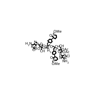 C#C[C@@]1(OC(C)=O)[C@@H](COC(C)(COCC(C)(Cc2ccc(-c3cccn(COC)c3=O)cc2)OC[C@H]2O[C@@H](n3cnc4c(N)nc(Cl)nc43)[C@H](OC(C)=O)[C@]2(C#C)OC(C)=O)Cc2ccc(-c3cccn(COC)c3=O)cc2)O[C@@H](n2cnc3c(N)nc(Cl)nc32)[C@@H]1OC(C)=O